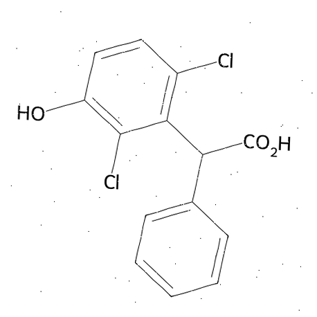 O=C(O)C(c1ccccc1)c1c(Cl)ccc(O)c1Cl